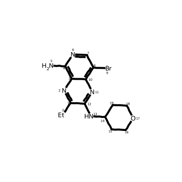 CCc1nc2c(N)ncc(Br)c2nc1NC1CCOCC1